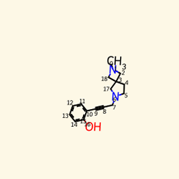 CN1CC2(CCN(CC#Cc3ccccc3O)C2)C1